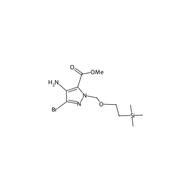 COC(=O)c1c(N)c(Br)nn1COCC[Si](C)(C)C